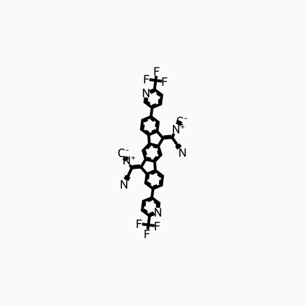 [C-]#[N+]/C(C#N)=C1/c2cc(-c3ccc(C(F)(F)F)nc3)ccc2-c2cc3c(cc21)-c1ccc(-c2ccc(C(F)(F)F)nc2)cc1/C3=C(/C#N)[N+]#[C-]